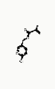 C=C(C)C(=O)OCc1ccc(O)nc1